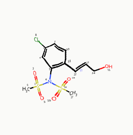 CS(=O)(=O)N(c1cc(Cl)ccc1/C=C/CO)S(C)(=O)=O